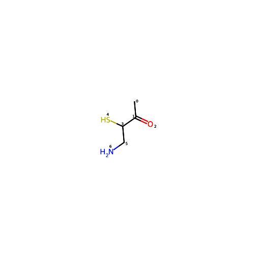 CC(=O)C(S)CN